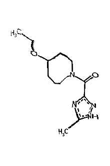 CCOC1CCN(C(=O)c2n[nH]c(C)n2)CC1